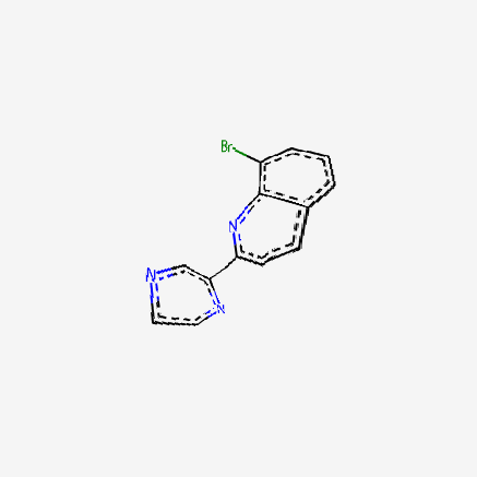 Brc1cccc2ccc(-c3cnccn3)nc12